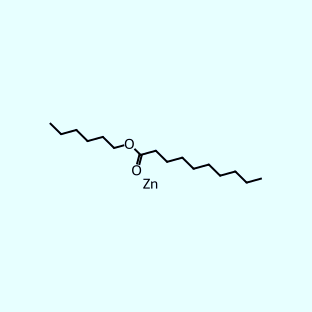 CCCCCCCCCC(=O)OCCCCCC.[Zn]